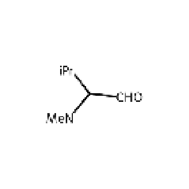 CNC(C=O)C(C)C